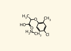 CN.Cc1cc(Cl)ccc1OC(C)C(=O)O